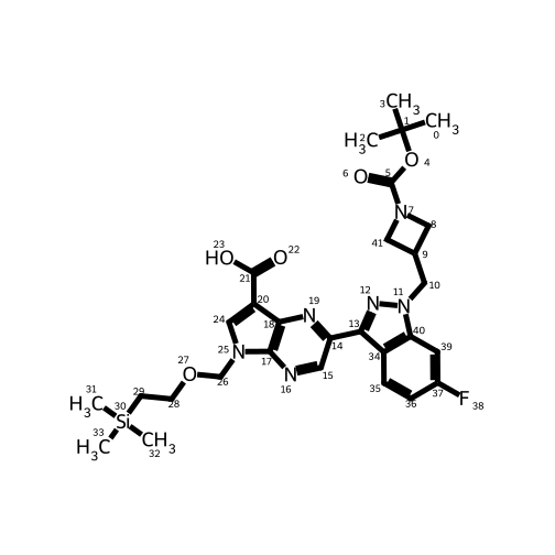 CC(C)(C)OC(=O)N1CC(Cn2nc(-c3cnc4c(n3)c(C(=O)O)cn4COCC[Si](C)(C)C)c3ccc(F)cc32)C1